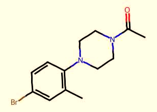 CC(=O)N1CCN(c2ccc(Br)cc2C)CC1